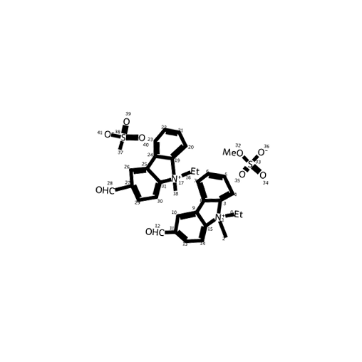 CC[N+]1(C)c2ccccc2-c2cc(C=O)ccc21.CC[N+]1(C)c2ccccc2-c2cc(C=O)ccc21.COS(=O)(=O)[O-].CS(=O)(=O)[O-]